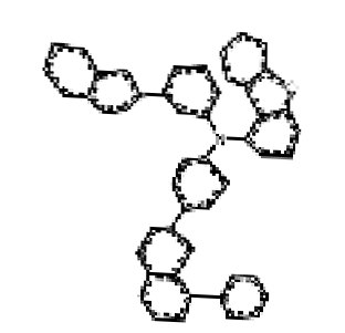 c1ccc(-c2cccc3ccc(-c4ccc(N(c5cccc(-c6ccc7ccccc7c6)c5)c5cccc6oc7ccccc7c56)cc4)cc23)cc1